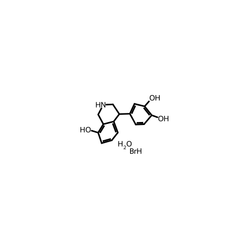 Br.O.Oc1ccc(C2CNCc3c(O)cccc32)cc1O